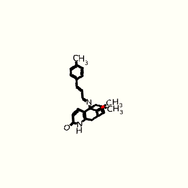 C/C=C1\C2C=C(C)CC1(/N=C/C=C/c1ccc(C)cc1)c1ccc(=O)[nH]c1C2